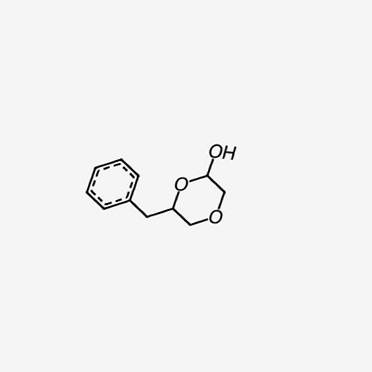 OC1COCC(Cc2ccccc2)O1